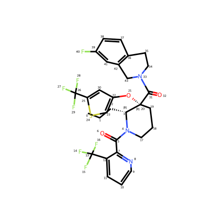 CCC[C@H]1N(C(=O)c2ncccc2C(F)(F)F)CCC[C@]1(Oc1csc(C(F)(F)F)c1)C(=O)N1CCc2ccc(F)cc2C1